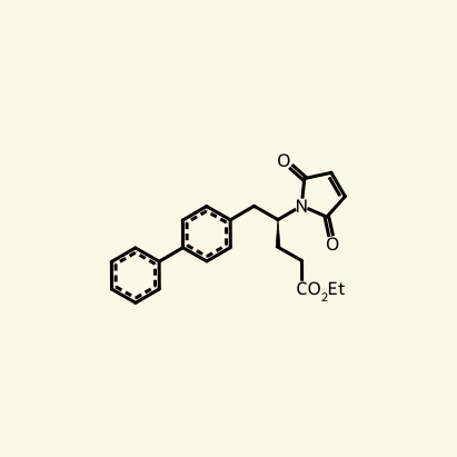 CCOC(=O)CC[C@@H](Cc1ccc(-c2ccccc2)cc1)N1C(=O)C=CC1=O